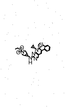 CCS(=O)(=O)N1CC2C(C1)C2Nc1ncc2cc(-c3ccccc3Cl)c(=O)n(C3CC3)c2n1